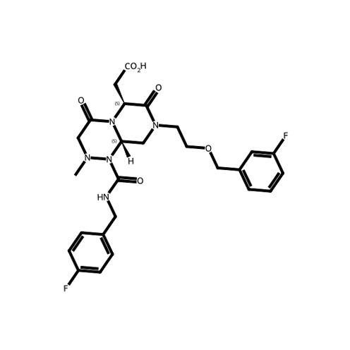 CN1CC(=O)N2[C@@H](CC(=O)O)C(=O)N(CCOCc3cccc(F)c3)C[C@@H]2N1C(=O)NCc1ccc(F)cc1